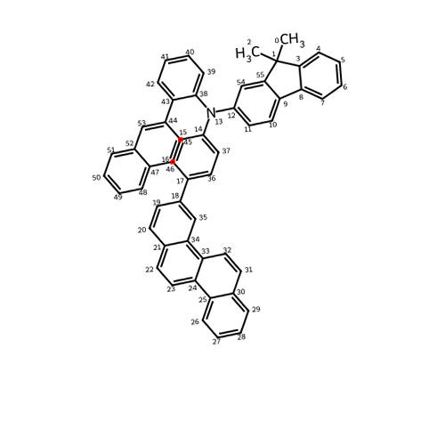 CC1(C)c2ccccc2-c2ccc(N(c3ccc(-c4ccc5ccc6c7ccccc7ccc6c5c4)cc3)c3ccccc3-c3ccc4ccccc4c3)cc21